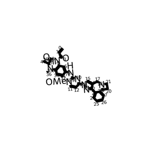 C=CC(=O)Nc1cc(Nc2nccc(-n3cc(CN4CCC4)c(-c4ccccc4)n3)n2)c(OC)cc1N(C)C1COC1